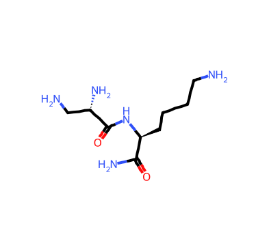 NCCCC[C@H](NC(=O)[C@@H](N)CN)C(N)=O